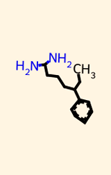 CCC(CCCC(N)N)c1ccccc1